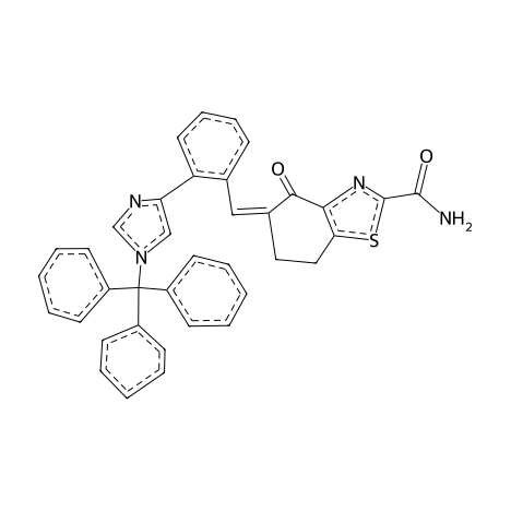 NC(=O)c1nc2c(s1)CCC(=Cc1ccccc1-c1cn(C(c3ccccc3)(c3ccccc3)c3ccccc3)cn1)C2=O